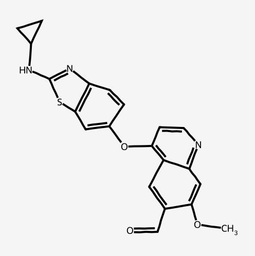 COc1cc2nccc(Oc3ccc4nc(NC5CC5)sc4c3)c2cc1C=O